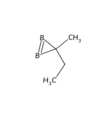 CCC1(C)B=B1